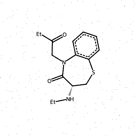 CCN[C@H]1CSc2ccccc2N(CC(=O)CC)C1=O